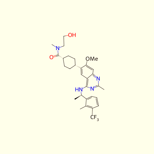 COc1cc2nc(C)nc(N[C@H](C)c3cccc(C(F)(F)F)c3C)c2cc1[C@H]1CC[C@@H](C(=O)N(C)CCO)CC1